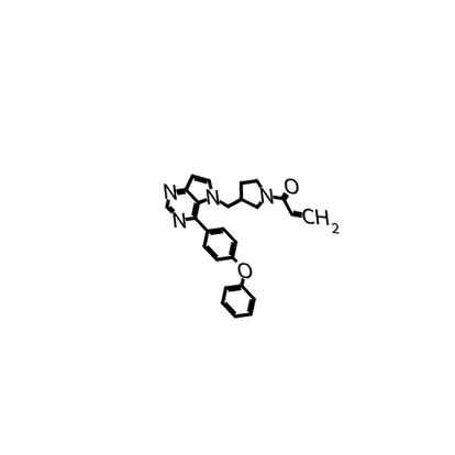 C=CC(=O)N1CCC(Cn2ccc3ncnc(-c4ccc(Oc5ccccc5)cc4)c32)C1